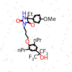 CCCc1cc(C(O)(C(F)(F)F)C(F)(F)F)cc(CCC)c1OCCCCN1C(=O)NC(CC)(c2ccc(OC)cc2)C1=O